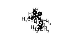 CN/C(S)=N/N=C(/C(=N/N=C(\S)NC(C)(C)CCOC(C)(N)C(C)C)c1ccccc1)c1ccc(S)cc1